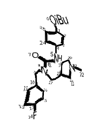 CC(C)COc1ccc(NC(=O)N(Cc2ccc(F)cc2)CC2CCN(C)C2)cc1